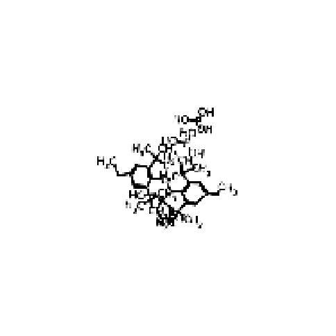 CCc1cc(C(C)(C)C)c(OC(c2c(C(C)(C)C)cc(CC)cc2C(C)(C)C)C(CO)(CO)CO)c(C(C)(C)C)c1.OP(O)O.OP(O)O